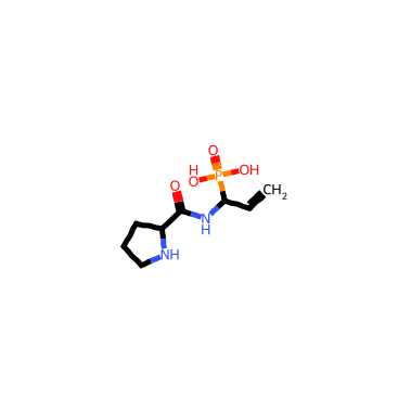 C=CC(NC(=O)C1CCCN1)P(=O)(O)O